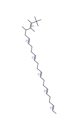 C/C=C/CC/C=C/CC/C=C/CC/C=C/CC/C=C/CC(C)/C(C)=C(\C)C(C)(C)C